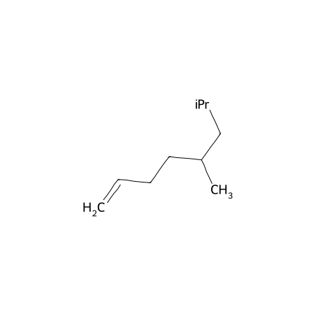 C=CCCC(C)CC(C)C